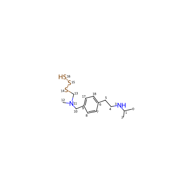 CC(C)NCCc1ccc(CN(C)CSSS)cc1